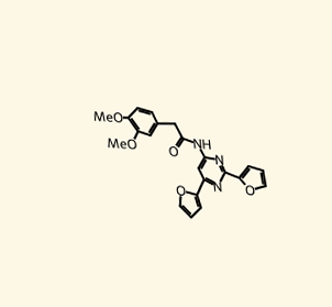 COc1ccc(CC(=O)Nc2cc(-c3ccco3)nc(-c3ccco3)n2)cc1OC